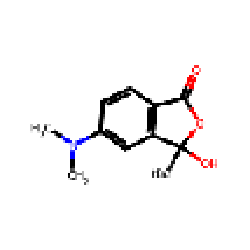 CN(C)c1ccc2c(c1)C(O)(C(C)(C)C)OC2=O